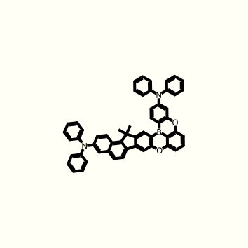 CC1(C)c2cc3c(cc2-c2ccc4cc(N(c5ccccc5)c5ccccc5)ccc4c21)Oc1cccc2c1B3c1ccc(N(c3ccccc3)c3ccccc3)cc1O2